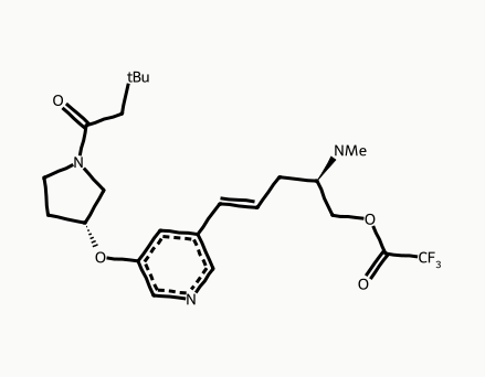 CN[C@H](C/C=C/c1cncc(O[C@@H]2CCN(C(=O)CC(C)(C)C)C2)c1)COC(=O)C(F)(F)F